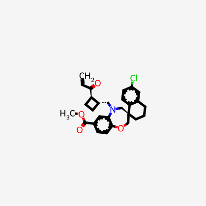 C=CC(=O)[C@@H]1CC[C@H]1CN1C[C@@]2(CCCc3cc(Cl)ccc32)COc2ccc(C(=O)OC)cc21